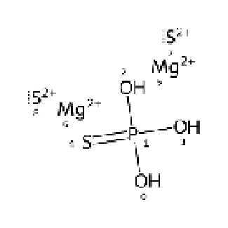 OP(O)(O)=S.[Mg+2].[Mg+2].[S+2].[S+2]